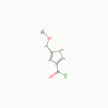 CCOCc1cc(C(=O)Cl)cs1